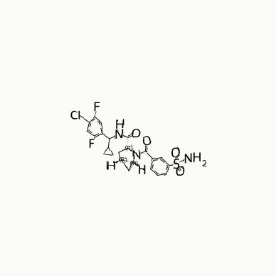 NS(=O)(=O)c1cccc(C(=O)N2[C@@H](C(=O)NC(c3cc(F)c(Cl)cc3F)C3CC3)C[C@H]3C[C@H]32)c1